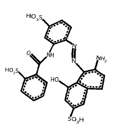 Nc1ccc2cc(S(=O)(=O)O)cc(O)c2c1N=Nc1ccc(S(=O)(=O)O)cc1NC(=O)c1ccccc1S(=O)(=O)O